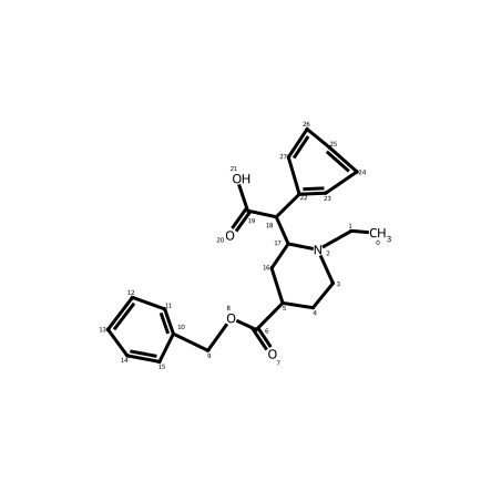 CCN1CCC(C(=O)OCc2ccccc2)CC1C(C(=O)O)c1ccccc1